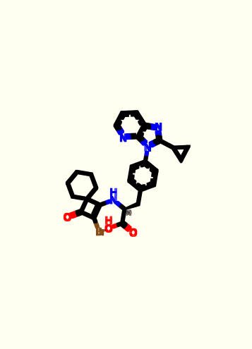 O=C(O)[C@H](Cc1ccc(-n2c(C3CC3)nc3cccnc32)cc1)NC1=C(Br)C(=O)C12CCCCC2